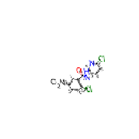 O=C(Nc1ccc(Cl)nc1)c1cc([N+](=O)[O-])ccc1Cl